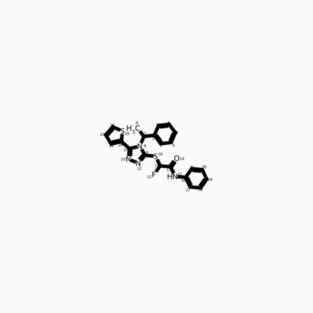 CC(c1ccccc1)n1c(SC(F)C(=O)Nc2ccccc2)nnc1-c1cccs1